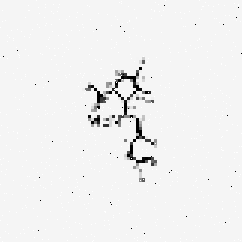 C=C(C)/C=C\C(C)=C/C(NC)C1C(C)=C(C)SC1N(C)C